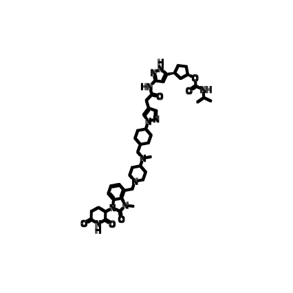 CC(C)NC(=O)O[C@@H]1CC[C@H](c2cc(NC(=O)Cc3cnn(C4CCC(CN(C)C5CCN(Cc6cccc7c6n(C)c(=O)n7C6CCC(=O)NC6=O)CC5)CC4)c3)n[nH]2)C1